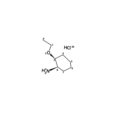 CCO[C@H]1CCCC[C@H]1N.Cl